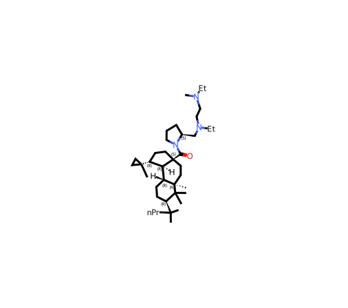 CCCC(C)(C)[C@H]1CC[C@@H]2[C@H]3[C@H](C4(C)CC4)CC[C@]3(C(=O)N3CCC[C@H]3CN(CC)CCN(C)CC)CC[C@@]2(C)C1(C)C